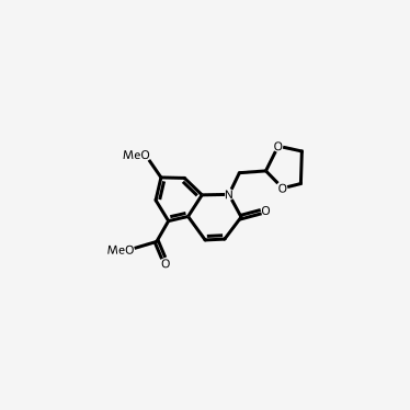 COC(=O)c1cc(OC)cc2c1ccc(=O)n2CC1OCCO1